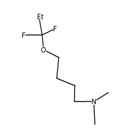 CCC(F)(F)OCCCCN(C)C